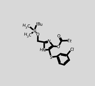 CCC(=O)Oc1nc(CO[Si](C)(C)C(C)(C)C)[nH]c1Sc1cccc(Cl)c1